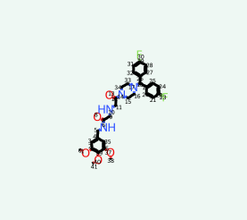 COc1cc(CNC(=O)CNCC(=O)N2CCN(C(c3ccc(F)cc3)c3ccc(F)cc3)CC2)cc(OC)c1OC